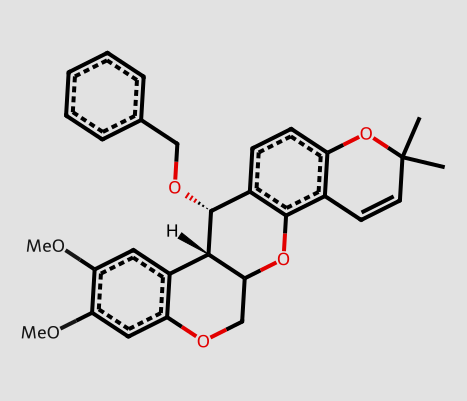 COc1cc2c(cc1OC)[C@H]1C(CO2)Oc2c(ccc3c2C=CC(C)(C)O3)[C@H]1OCc1ccccc1